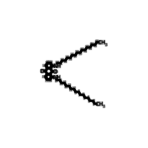 CCCCCCCCCCCCCCCCCCNc1cccc2c1C(=O)c1c(NCCCCCCCCCCCCCCCCCC)cccc1C2=O